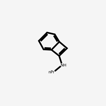 [CH2]CCNC1=Cc2ccccc21